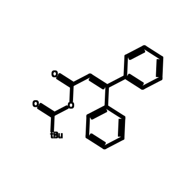 CC(C)(C)C(=O)OC(=O)C=C(c1ccccc1)c1ccccc1